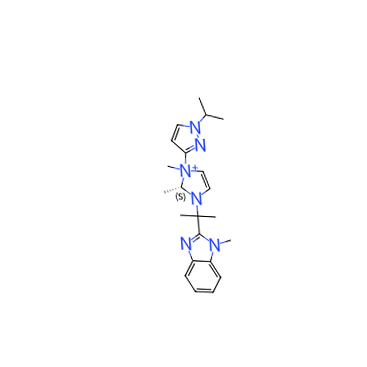 CC(C)n1ccc([N+]2(C)C=CN(C(C)(C)c3nc4ccccc4n3C)[C@@H]2C)n1